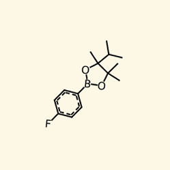 CC(C)C1(C)OB(c2ccc(F)cc2)OC1(C)C